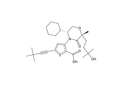 CC(C)(C)C#Cc1cc(N2C(=O)[C@@](C)(CCC(C)(C)O)OC[C@H]2C2CCCCC2)c(C(=O)O)s1